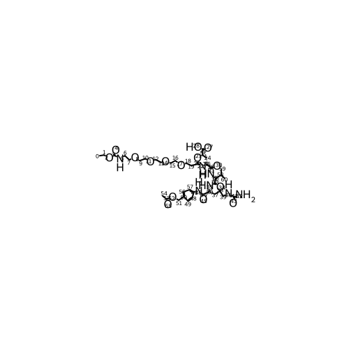 CCOC(=O)NCCOCCOCCOCCOCCC(=O)N[C@H](CCC(=O)O)C(=O)N[C@H](C(=O)N[C@@H](CCCNC(N)=O)C(=O)Nc1ccc(COC(C)=O)cc1)C(C)C